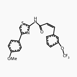 COc1ccc(-c2csc(NC(=O)/C=C\c3cccc(OC(F)(F)F)c3)n2)cc1